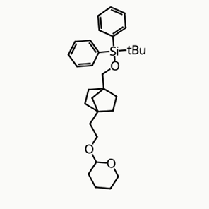 CC(C)(C)[Si](OCC12CCC(CCOC3CCCCO3)(CC1)C2)(c1ccccc1)c1ccccc1